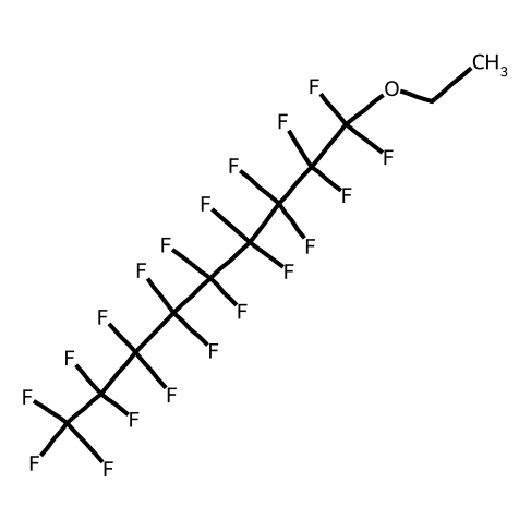 CCOC(F)(F)C(F)(F)C(F)(F)C(F)(F)C(F)(F)C(F)(F)C(F)(F)C(F)(F)C(F)(F)F